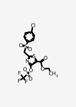 CCOC(=O)c1sc(CS(=O)(=O)c2ccc(Cl)cc2)nc1OS(=O)(=O)C(F)(F)F